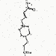 COCCN1CCN(C/C=C/C(N)=O)CC1